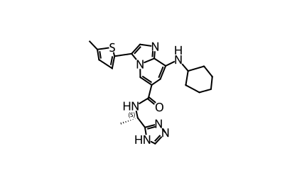 Cc1ccc(-c2cnc3c(NC4CCCCC4)cc(C(=O)N[C@@H](C)c4nnc[nH]4)cn23)s1